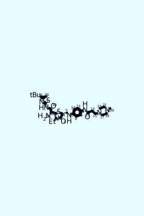 CCN1C(=O)[C@@H](CNc2ccc(NC(=O)CCN3CCN(C)CC3)cc2)S/C1=C(/N)C(=O)Nc1nc(C(C)(C)C)cs1